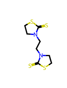 S=C1SCCN1CCN1CCSC1=S